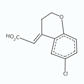 O=C(O)C=C1CCOc2ccc(Cl)cc21